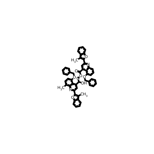 Cc1c(-c2cc(C(=O)OOC(O)c3cc(-c4oc5ccccc5c4C)nc4c(C)ccc(OCc5ccccc5)c34)c3c(OCc4ccccc4)cccc3n2)oc2ccccc12